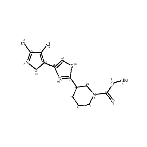 CC(C)(C)OC(=O)N1CCCC(c2nc(-c3snc(Cl)c3Cl)cs2)C1